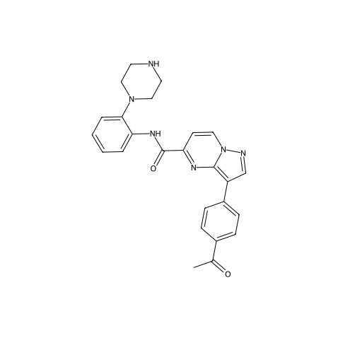 CC(=O)c1ccc(-c2cnn3ccc(C(=O)Nc4ccccc4N4CCNCC4)nc23)cc1